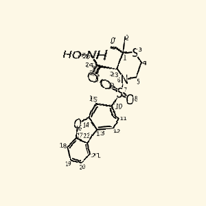 CC1(C)SCCN(S(=O)(=O)c2ccc3c(c2)oc2ccccc23)[C@H]1C(=O)NO